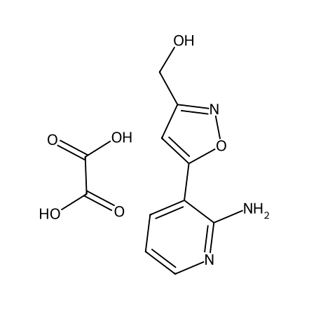 Nc1ncccc1-c1cc(CO)no1.O=C(O)C(=O)O